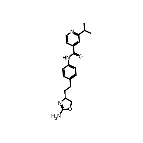 CC(C)c1cc(C(=O)Nc2ccc(CC[C@H]3COC(N)=N3)cc2)ccn1